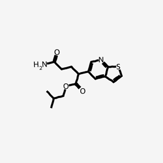 CC(C)COC(=O)C(CCC(N)=O)c1cnc2sccc2c1